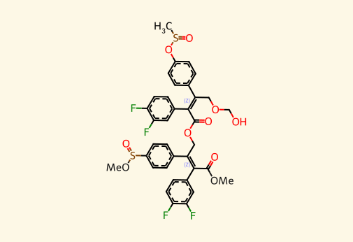 COC(=O)/C(=C(\COC(=O)/C(=C(\COCO)c1ccc(OS(C)=O)cc1)c1ccc(F)c(F)c1)c1ccc(S(=O)OC)cc1)c1ccc(F)c(F)c1